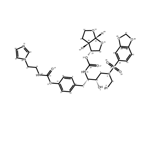 CC(C)CN(C[C@H](O)[C@H](Cc1ccc(OC(=O)NCCn2ccnc2)cc1)NC(=O)O[C@H]1CO[C@H]2OCC[C@H]21)S(=O)(=O)c1ccc2c(c1)OCO2